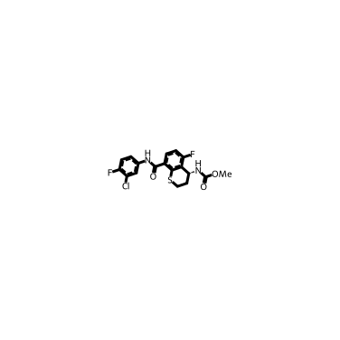 COC(=O)N[C@@H]1CCSc2c(C(=O)Nc3ccc(F)c(Cl)c3)ccc(F)c21